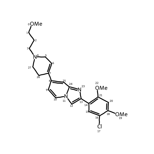 COCCCN1CC=C(c2ccn3cc(-c4cc(Cl)c(OC)cc4OC)nc3c2)CC1